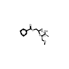 BC(COC(=O)c1ccccc1)O[C@H](COC)[C@H](C)O